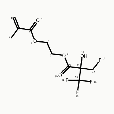 C=C(C)C(=O)OCCOC(=O)C(O)(CF)C(F)(F)F